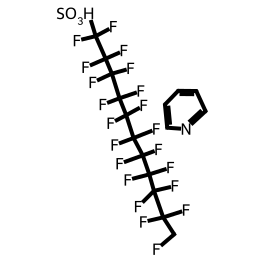 O=S(=O)(O)C(F)(F)C(F)(F)C(F)(F)C(F)(F)C(F)(F)C(F)(F)C(F)(F)C(F)(F)C(F)(F)C(F)(F)CF.c1ccncc1